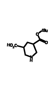 CC(C)(C)OC(=O)C1CNCC(C(=O)O)C1